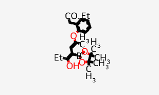 CCOC(=O)Cc1ccccc1O/C(C)=C/C(B1OC(C)(C)C(C)(C)O1)=C(/O)CC